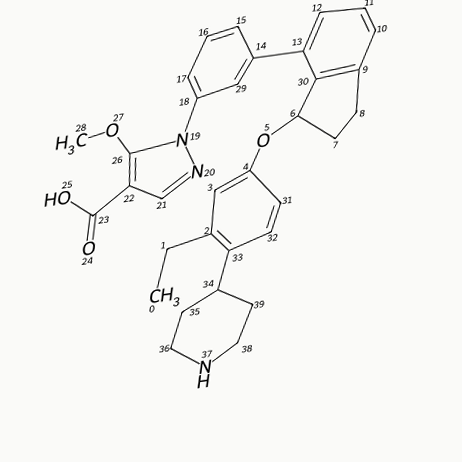 CCc1cc(OC2CCc3cccc(-c4cccc(-n5ncc(C(=O)O)c5OC)c4)c32)ccc1C1CCNCC1